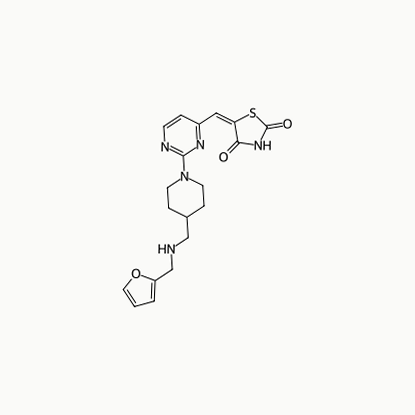 O=C1NC(=O)/C(=C\c2ccnc(N3CCC(CNCc4ccco4)CC3)n2)S1